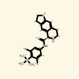 C[Si](C)(C)c1c(F)cc(NC(=O)[C@@H]2NCCc3cc4c(cc32)CCO4)cc1F